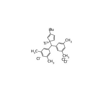 CCC(C)C1=C[C]([Ti+3])(C(c2cc(C)cc(C)c2)c2cc(C)cc(C)c2)C=C1.[Cl-].[Cl-].[Cl-]